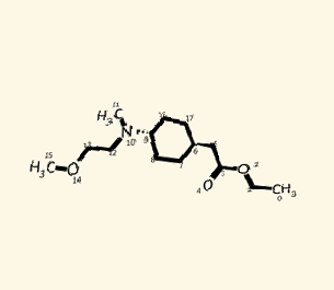 CCOC(=O)C[C@H]1CC[C@H](N(C)CCOC)CC1